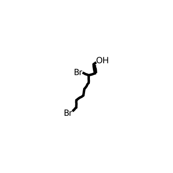 OC=CC(Br)CCCCCBr